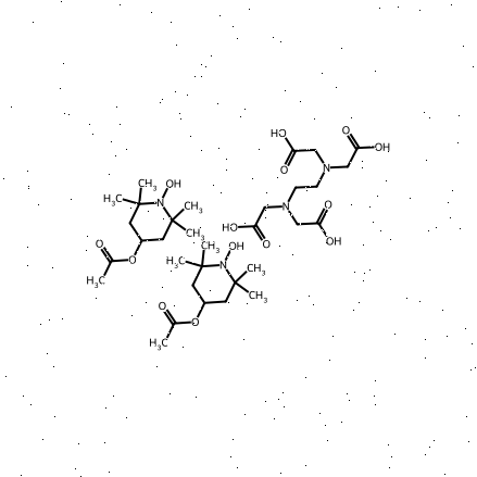 CC(=O)OC1CC(C)(C)N(O)C(C)(C)C1.CC(=O)OC1CC(C)(C)N(O)C(C)(C)C1.O=C(O)CN(CCN(CC(=O)O)CC(=O)O)CC(=O)O